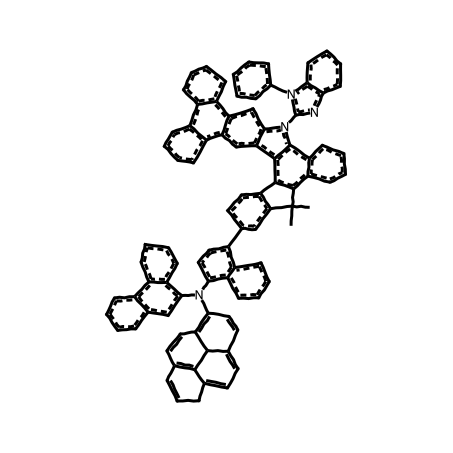 CC1(C)c2cc(-c3ccc(N(C4=C5C=CC6=C7C(=CC=C(C=C4)C57)CC=C6)c4cc5ccccc5c5ccccc45)c4ccccc34)ccc2-c2c1c1ccccc1c1c2c2cc3c4ccccc4c4ccccc4c3cc2n1-c1nc2ccccc2n1-c1ccccc1